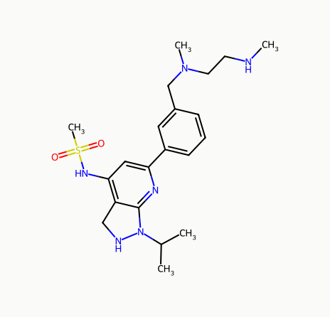 CNCCN(C)Cc1cccc(-c2cc(NS(C)(=O)=O)c3c(n2)N(C(C)C)NC3)c1